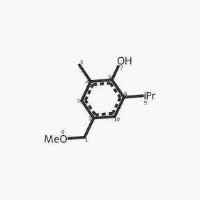 COCc1cc(C)c(O)c(C(C)C)c1